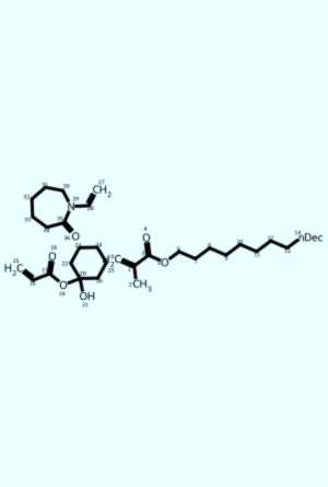 C=C(C)C(=O)OCCCCCCCCCCCCCCCCCC.C=CC(=O)OC1(O)CCCCC1.C=CN1CCCCCC1=O